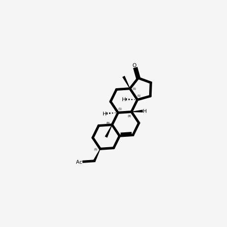 CC(=O)C[C@H]1CC[C@@]2(C)C(=CC[C@@H]3[C@@H]2CC[C@]2(C)C(=O)CC[C@@H]32)C1